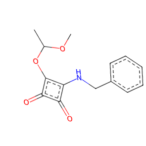 COC(C)Oc1c(NCc2ccccc2)c(=O)c1=O